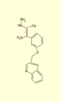 N#C/C(NN)=C(/N)c1cccc(OCc2cnc3ccccc3c2)c1